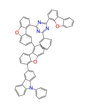 c1ccc(-c2nc(-c3cccc4c3oc3ccccc34)nc(-c3cccc4oc5ccc(-c6cccc7oc8c(-c9ccc%10c(c9)c9ccccc9n%10-c9ccccc9)cccc8c67)cc5c34)n2)cc1